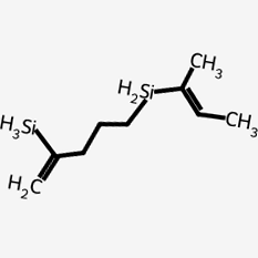 C=C([SiH3])CCC[SiH2]C(C)=CC